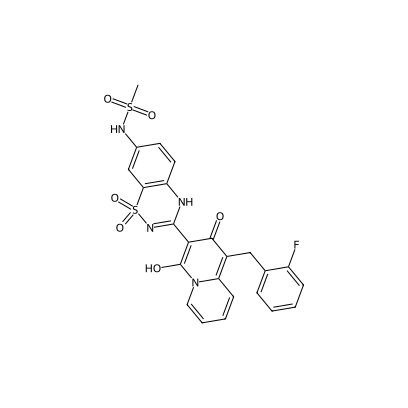 CS(=O)(=O)Nc1ccc2c(c1)S(=O)(=O)N=C(c1c(O)n3ccccc3c(Cc3ccccc3F)c1=O)N2